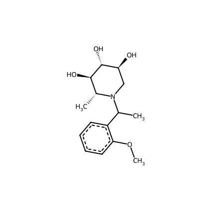 COc1ccccc1C(C)N1C[C@H](O)[C@@H](O)[C@H](O)[C@H]1C